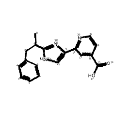 CC(Cc1ccccc1)c1nc(-c2cc(C(=O)O)ccn2)c[nH]1